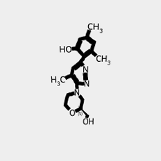 Cc1cc(C)c(-c2cc(C)c(N3CCO[C@H](CO)C3)nn2)c(O)c1